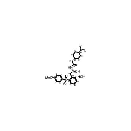 COc1ccc(S(=O)(=O)c2ccccc2CN(O)NC(=O)C[C@H]2CC[C@H](N(C)C)CC2)cc1.Cl